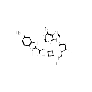 CC(C)N(C[C@H]1O[C@@H](n2cnc3c(N)ncnc32)[C@H](O)[C@@H]1O)[C@H]1C[C@H](CC(O)c2nc3cc(C(C)(C)C)ccc3[nH]2)C1